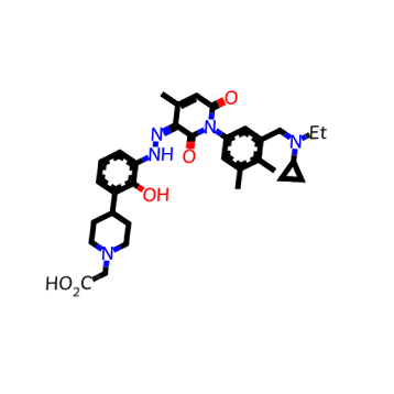 CCN(Cc1cc(N2C(=O)C=C(C)C(=NNc3cccc(C4CCN(CC(=O)O)CC4)c3O)C2=O)cc(C)c1C)C1CC1